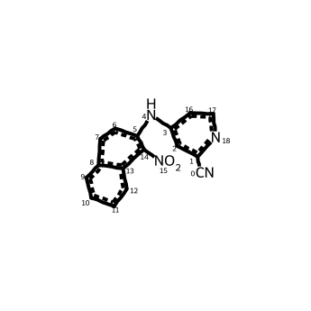 N#Cc1cc(Nc2ccc3ccccc3c2[N+](=O)[O-])ccn1